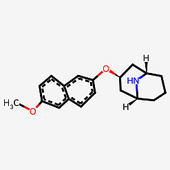 COc1ccc2cc(O[C@@H]3C[C@H]4CCC[C@@H](C3)N4)ccc2c1